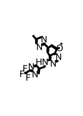 COc1cc(-c2ncc(C)cn2)cc2c(NCc3cnc(C(F)(F)F)nc3)ncnc12